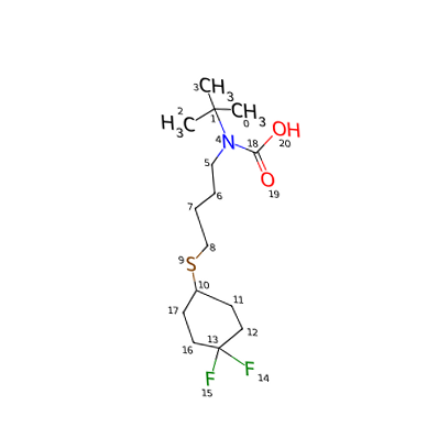 CC(C)(C)N(CCCCSC1CCC(F)(F)CC1)C(=O)O